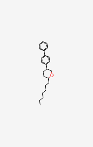 CCCCCCCC1CCC(c2ccc(-c3ccccc3)cc2)CO1